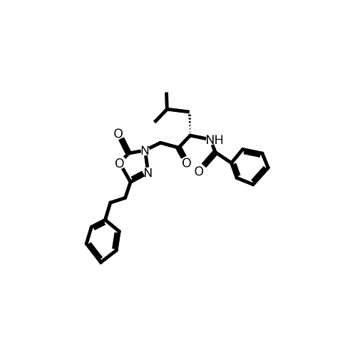 CC(C)C[C@H](NC(=O)c1ccccc1)C(=O)Cn1nc(CCc2ccccc2)oc1=O